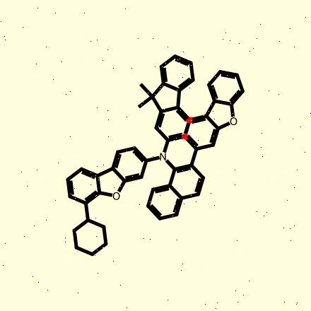 CC1(C)c2ccccc2-c2ccc(N(c3ccc4c(c3)oc3c(C5CCCCC5)cccc34)c3c(-c4ccc5c(c4)oc4ccccc45)ccc4ccccc34)cc21